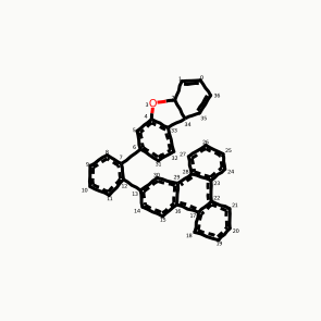 C1=CC2Oc3cc(-c4ccccc4-c4ccc5c6ccccc6c6ccccc6c5c4)ccc3C2C=C1